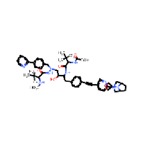 COC(=O)NC(C(=O)NC(Cc1ccc(C#Cc2ccc(N3CC4CCC(C3)N4C3COC3)nc2)cc1)C(O)CN(Cc1ccc(-c2ccccn2)cc1)NC(=O)C(NC(=O)O)C(C)(C)C(F)(F)F)C(C)(C)C(F)(F)F